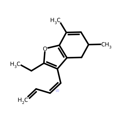 C=C/C=C\c1c(CC)oc2c1CC(C)C=C2C